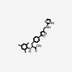 Cc1cc(C)c(NC(Cc2ccc(-c3cc(CNc4ncc[nH]4)no3)cc2)C(=O)O)c(C)c1